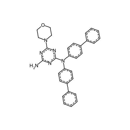 Nc1nc(N2CCOCC2)nc(N(c2ccc(-c3ccccc3)cc2)c2ccc(-c3ccccc3)cc2)n1